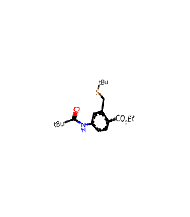 CCOC(=O)c1ccc(NC(=O)C(C)(C)C)cc1CSC(C)(C)C